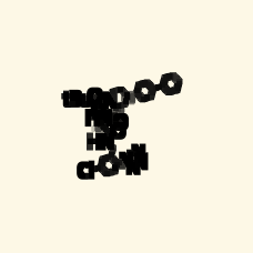 C[C@H](NC(=O)[C@H]1C[C@@H](c2ccc(-c3ccccc3)cc2)CCN1C(=O)OC(C)(C)C)C(=O)NCc1cc(Cl)ccc1-n1cnnn1